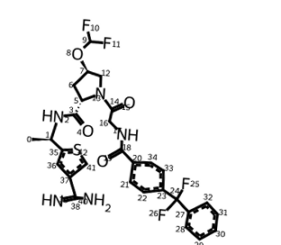 C[C@@H](NC(=O)[C@@H]1C[C@@H](OC(F)F)CN1C(=O)CNC(=O)c1ccc(C(F)(F)c2ccccc2)cc1)c1cc(C(=N)N)cs1